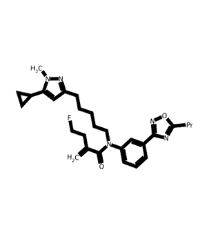 C=C(CCF)C(=O)N(CCCCCc1cc(C2CC2)n(C)n1)c1cccc(-c2noc(C(C)C)n2)c1